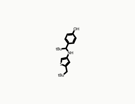 CC(C)(C)Cc1cc(NC(c2ccc(O)cc2)C(C)(C)C)cs1